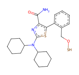 NC(=O)c1nc(N(C2CCCCC2)C2CCCCC2)sc1-c1ccccc1COS